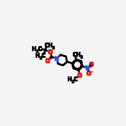 COc1cc(C2CCN(C(=O)OC(C)(C)C)CC2)c(C)cc1[N+](=O)[O-]